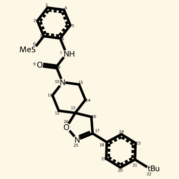 CSc1ccccc1NC(=O)N1CCC2(CC1)CC(c1ccc(C(C)(C)C)cc1)=NO2